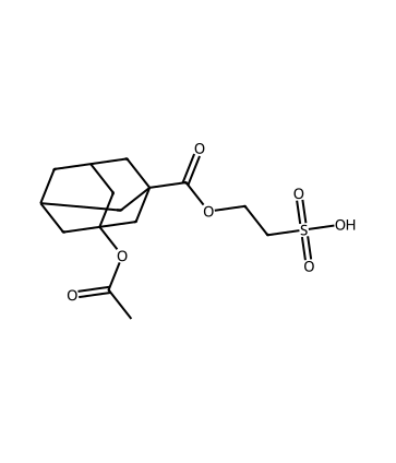 CC(=O)OC12CC3CC(C1)CC(C(=O)OCCS(=O)(=O)O)(C3)C2